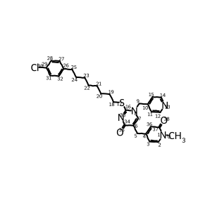 Cn1ccc(Cc2cn(Cc3ccncc3)c(SCCCCCCCCc3ccc(Cl)cc3)nc2=O)cc1=O